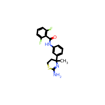 CC1(c2cccc(NC(=O)c3c(F)cccc3F)c2)CCSC(N)=N1